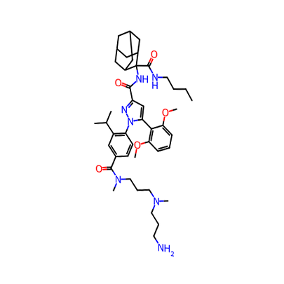 CCCCNC(=O)C1(NC(=O)c2cc(-c3c(OC)cccc3OC)n(-c3ccc(C(=O)N(C)CCCN(C)CCCN)cc3C(C)C)n2)C2CC3CC(C2)CC1C3